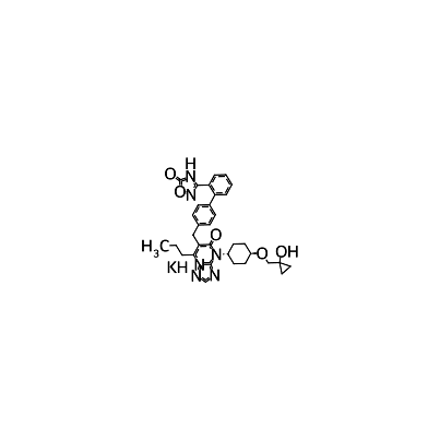 CCCc1c(Cc2ccc(-c3ccccc3-c3noc(=O)[nH]3)cc2)c(=O)n([C@H]2CC[C@H](OCC3(O)CC3)CC2)c2ncnn12.[KH]